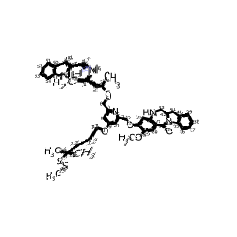 C=C(CC(C)OCc1cc(OCCCC(C)(C)SSC)cc(COc2cc3c(cc2OC)C(=O)N2c4ccccc4CC2CN3)n1)/N=C\C1Cc2ccccc2N1